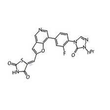 CCCn1ncn(-c2ccc(-c3cncc4cc(/C=C5\SC(=O)NC5=O)oc34)cc2F)c1=O